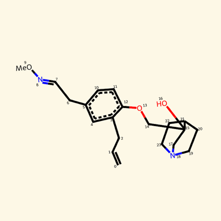 C=CCc1cc(CC=NOC)ccc1OCC1(O)CN2CCC1CC2